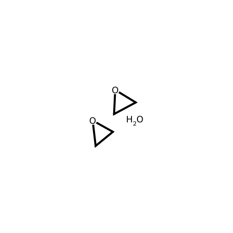 C1CO1.C1CO1.O